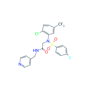 O=C(CN(c1cc(C(F)(F)F)ccc1Cl)S(=O)(=O)c1ccc(F)cc1)NCc1ccncc1